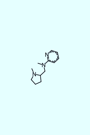 CN(CC1CCCN1C)c1ccccn1